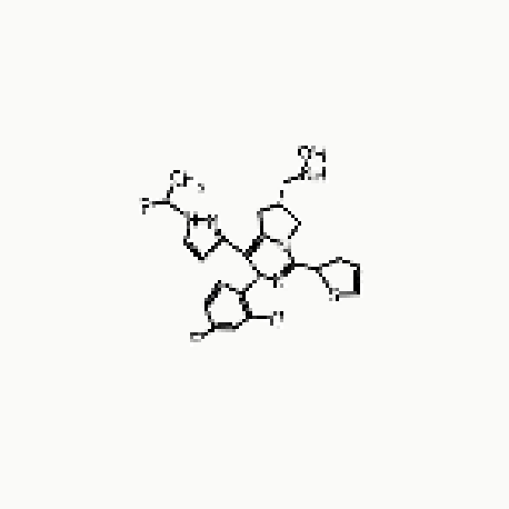 CC(F)n1ccc(C2=C3C[C@H](CNO)CN3C(C3CC=CS3)=N[C@H]2c2ccc(F)cc2Cl)n1